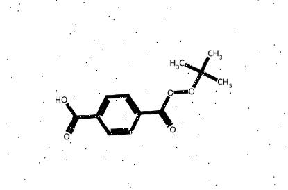 CC(C)(C)OOC(=O)c1ccc(C(=O)O)cc1